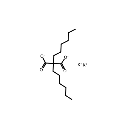 CCCCCCC(CCCCCC)(C(=O)[O-])C(=O)[O-].[K+].[K+]